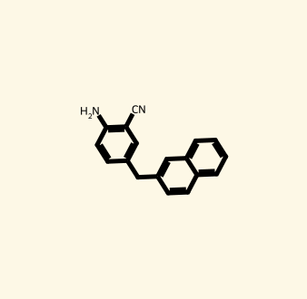 N#Cc1cc(Cc2ccc3ccccc3c2)ccc1N